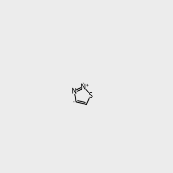 [C]1=CS[N+]=N1